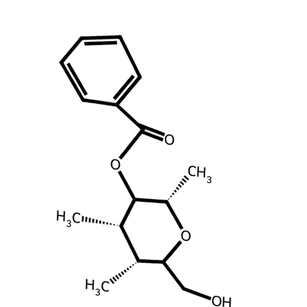 C[C@@H]1OC(CO)[C@H](C)[C@H](C)C1OC(=O)c1ccccc1